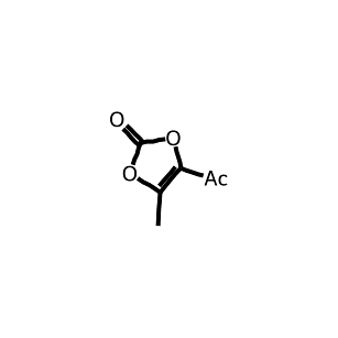 CC(=O)c1oc(=O)oc1C